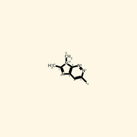 Cc1nc2cc(I)nnc2n1C